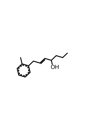 CCCC(O)C=CCc1ccccc1C